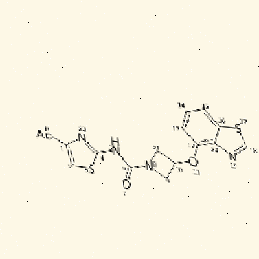 CC(=O)c1csc(NC(=O)N2CC(Oc3cccc4scnc34)C2)n1